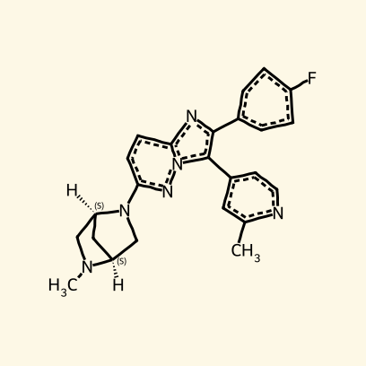 Cc1cc(-c2c(-c3ccc(F)cc3)nc3ccc(N4C[C@@H]5C[C@H]4CN5C)nn23)ccn1